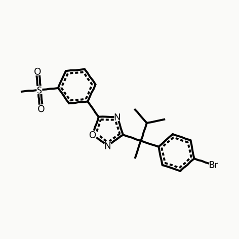 CC(C)C(C)(c1ccc(Br)cc1)c1noc(-c2cccc(S(C)(=O)=O)c2)n1